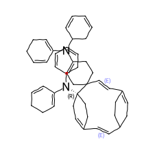 C1=CCC(N(C2=CCCC=C2)C2=CCC3(/C=C/C4=CCC(/C=C/C5=CC[C@]3(N(C3=CCCC=C3)C3C=CC=CC3)CC5)CC4)CC2)C=C1